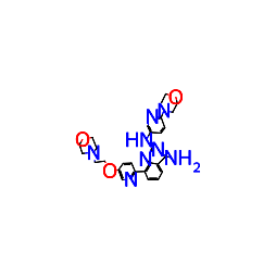 Nc1nc(Nc2ccc(N3CCOCC3)nc2)nc2c(-c3ccc(OCCN4CCOCC4)cn3)cccc12